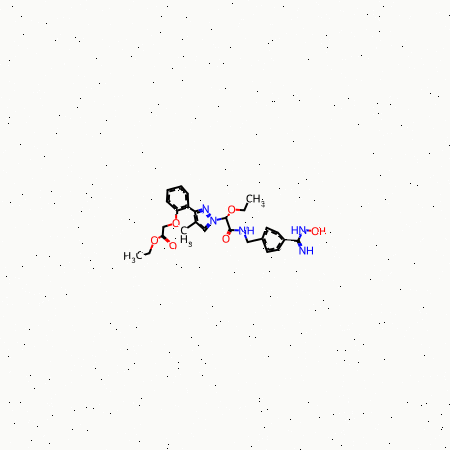 CCOC(=O)COc1ccccc1-c1nn(C(OCC)C(=O)NCc2ccc(C(=N)NO)cc2)cc1C